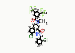 CN(C(=O)c1cc(C(F)(F)F)cc(C(F)(F)F)c1)C(CCC(=O)NCc1ccccc1Cl)Cc1ccc(Cl)cc1